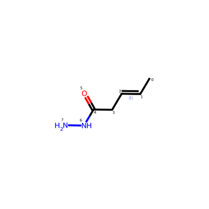 C/C=C/CC(=O)NN